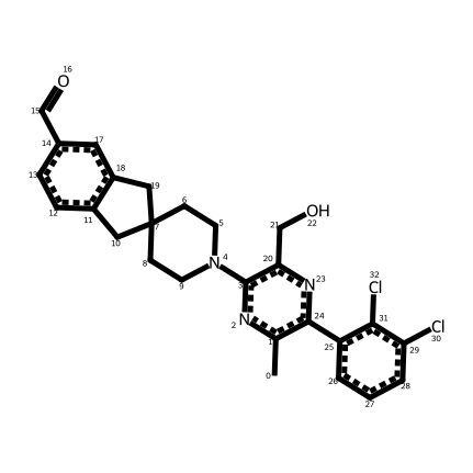 Cc1nc(N2CCC3(CC2)Cc2ccc(C=O)cc2C3)c(CO)nc1-c1cccc(Cl)c1Cl